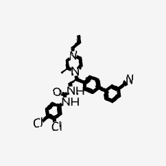 CCCN1CCN([C@H](CNC(=O)Nc2ccc(Cl)c(Cl)c2)c2ccc(-c3cccc(C#N)c3)cc2)[C@@H](C)C1